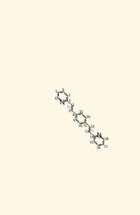 C(=C\c1ccccn1)/c1ccc(/C=C/c2ccccn2)cc1